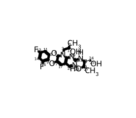 CC(O)Cn1c(=O)c(Oc2ccc(F)cc2F)cc2cnc(N[C@H](CO)[C@@H](C)O)nc21